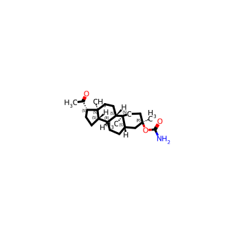 CC(=O)[C@H]1CC[C@H]2[C@@H]3CC[C@H]4C[C@](C)(OC(N)=O)CC[C@]4(C)[C@H]3CC[C@]12C